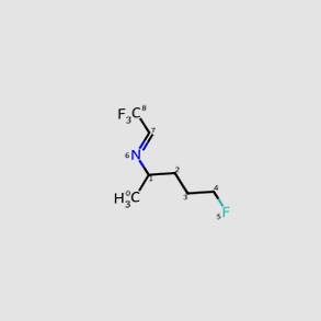 CC(CCCF)/N=C/C(F)(F)F